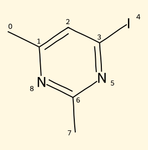 Cc1cc(I)nc(C)n1